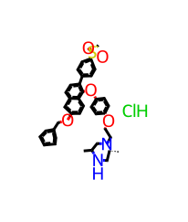 CC1CN(CCOc2ccc(Oc3c(-c4ccc(S(C)(=O)=O)cc4)ccc4cc(OCc5ccccc5)ccc34)cc2)[C@H](C)CN1.Cl